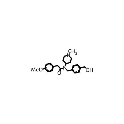 COc1ccc(CC(=O)N(Cc2ccc(CO)cc2)C2CCN(C)CC2)cc1